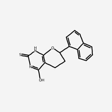 Oc1nc(=S)[nH]c2c1CCC(c1cccc3ccccc13)O2